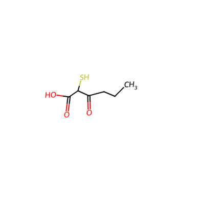 CCCC(=O)C(S)C(=O)O